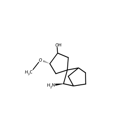 CO[C@H]1CC2(CC1O)C1CCC(C1)[C@H]2N